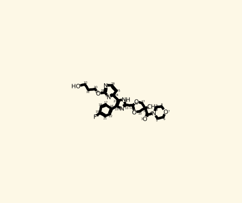 CC1(C(=O)N2CCOCC2)COC(c2nc(-c3ccc(F)cc3)c(-c3ccnc(OCCCO)n3)[nH]2)OC1